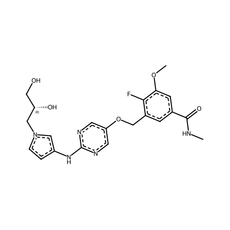 CNC(=O)c1cc(COc2cnc(Nc3ccn(C[C@@H](O)CO)c3)nc2)c(F)c(OC)c1